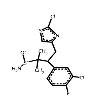 CC(C)(C(Cc1csc(Cl)n1)c1ccc(F)c(Cl)c1)[S+](N)[O-]